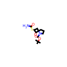 CC(C)(C)OC(=O)N1CCCC12C[C@@H](SC(N)=O)C2=O